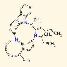 C=CC/C=C1/C(C)n2c3ccccc3c3ccc(cc32)-n2cccccc(C)c3ccc(cc32)N1C(=C)C=C